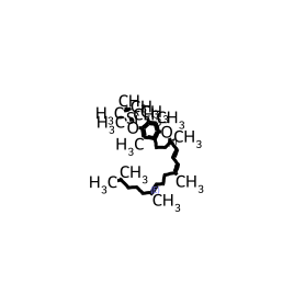 CC(=CC=C[C@@]1(C)CCc2c(C)c(O[Si](C)(C)C(C)(C)C)c(C)c(C)c2O1)CC/C=C(\C)CCCC(C)C